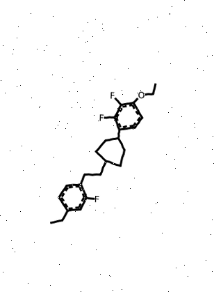 CCOc1ccc(C2CCC(CCc3ccc(CC)cc3F)CC2)c(F)c1F